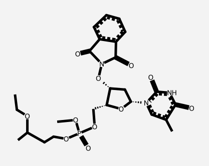 CCOC(C)CCOP(=O)(OC)OC[C@H]1O[C@@H](n2cc(C)c(=O)[nH]c2=O)C[C@H]1ON1C(=O)c2ccccc2C1=O